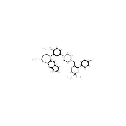 C[C@@H]1CCN(c2cc(N3CCN(CC4=C(c5ccc(Cl)cc5)CC(C)(C)CC4)CC3)ccc2C(=O)O)c2cc3cc[nH]c3nc2O1